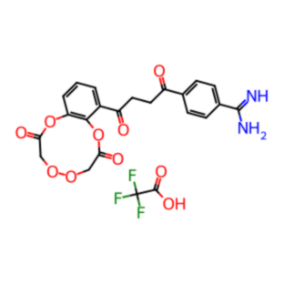 N=C(N)c1ccc(C(=O)CCC(=O)c2cccc3c2OC(=O)COOCC(=O)O3)cc1.O=C(O)C(F)(F)F